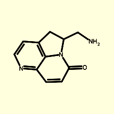 NCC1Cc2ccnc3ccc(=O)n1c23